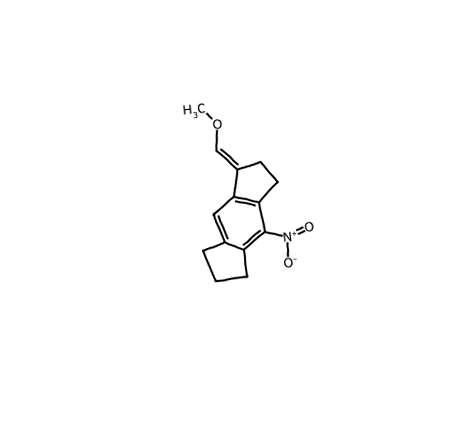 COC=C1CCc2c1cc1c(c2[N+](=O)[O-])CCC1